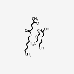 CCCCCCOC(=O)CCC(C)=O.CCOCC.OCCOCCO